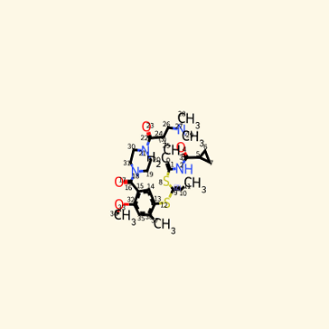 C=C(NC(=O)C1CC1)S/C(=C\C)Sc1cc(C(=O)N2CCN(C(=O)[C@@H](C)CN(C)C)CC2)c(OC)cc1C